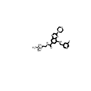 CC(C)(C)[Si](C)(C)OCCNC(=O)c1cc(NCc2cncc(F)c2)c2nc(N3CCOCC3)cnc2c1